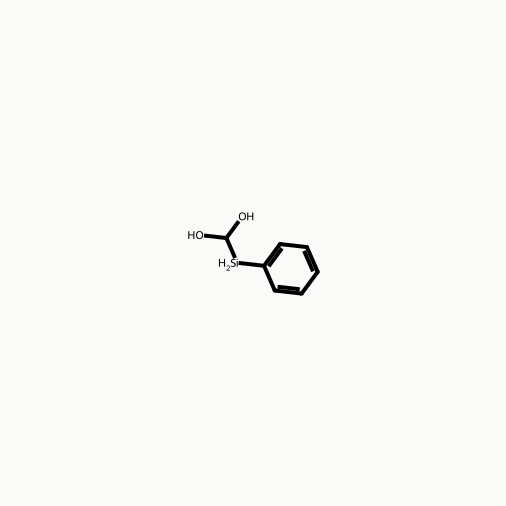 OC(O)[SiH2]c1ccccc1